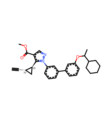 C#C[C@H]1C[C@@H]1c1c(C(=O)OC)cnn1-c1cccc(-c2cccc(OC(C)C3CCCCC3)c2)c1